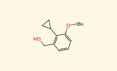 CC(C)(C)Oc1cccc([CH]O)c1C1CC1